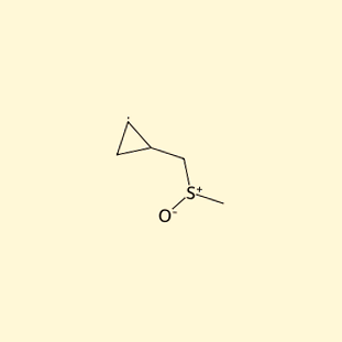 C[S+]([O-])CC1[CH]C1